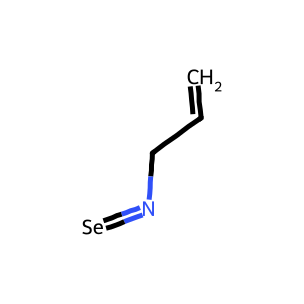 C=CCN=[Se]